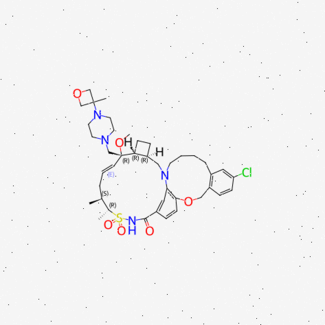 CO[C@@]1(CN2CCN(C3(C)COC3)CC2)/C=C/C[C@H](C)[C@@H](C)S(=O)(=O)NC(=O)c2ccc3c(c2)N(CCCCc2cc(Cl)ccc2CO3)C[C@@H]2CC[C@H]21